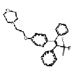 FC(F)(F)/C(=C(\c1ccccc1)c1ccc(OCCN2CCOCC2)cc1)c1ccccc1